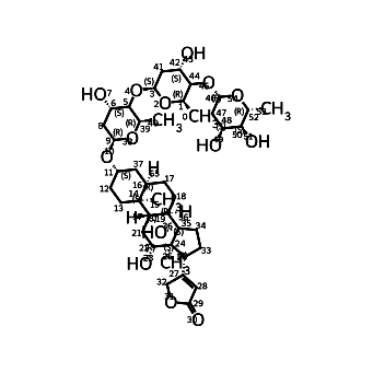 C[C@H]1O[C@@H](OC2[C@@H](O)C[C@H](O[C@H]3CC[C@@]4(C)[C@H](CC[C@@H]5[C@@H]4C[C@@H](O)[C@]4(C)[C@@H](C6=CC(=O)OC6)CC[C@]54O)C3)O[C@@H]2C)C[C@H](O)C1O[C@H]1C[C@H](O)[C@H](O)[C@@H](C)O1